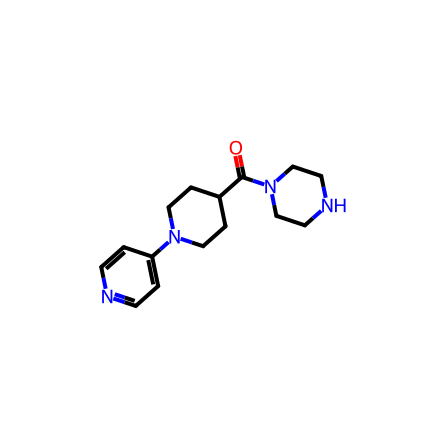 O=C(C1CCN(c2ccncc2)CC1)N1CCNCC1